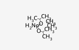 CC.CC(C)OP(N)OC(C)C